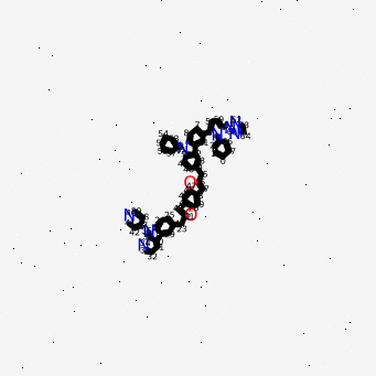 c1ccc(-n2c(-c3ccc4c(c3)c3cc(Cc5cc6cc7oc(Cc8ccc9c(c8)c8cccnc8n9-c8ccncc8)cc7cc6o5)ccc3n4-c3ccccc3)ccc2-n2nccn2)cc1